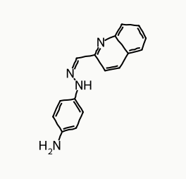 Nc1ccc(N/N=C\c2ccc3ccccc3n2)cc1